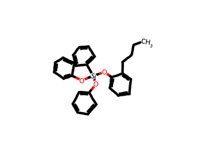 CCCCc1ccccc1O[Si](Oc1ccccc1)(Oc1ccccc1)c1ccccc1